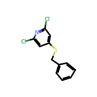 Clc1cc(SCc2ccccc2)cc(Cl)n1